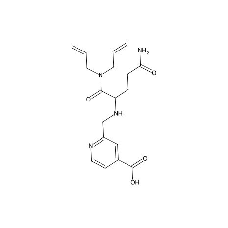 C=CCN(CC=C)C(=O)C(CCC(N)=O)NCc1cc(C(=O)O)ccn1